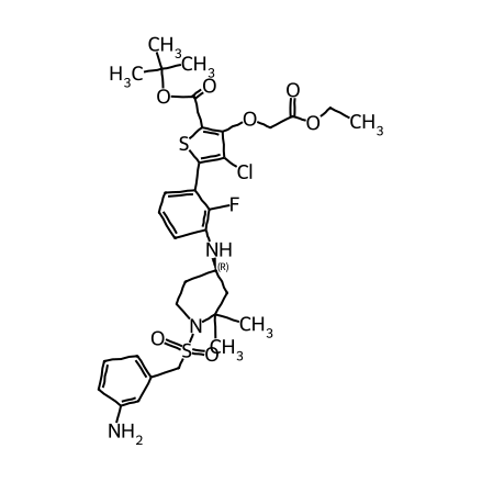 CCOC(=O)COc1c(C(=O)OC(C)(C)C)sc(-c2cccc(N[C@@H]3CCN(S(=O)(=O)Cc4cccc(N)c4)C(C)(C)C3)c2F)c1Cl